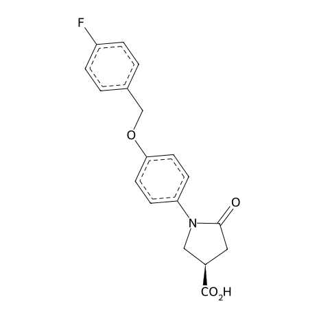 O=C(O)[C@@H]1CC(=O)N(c2ccc(OCc3ccc(F)cc3)cc2)C1